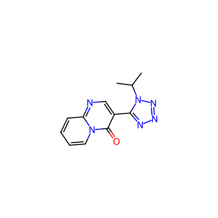 CC(C)n1nnnc1-c1cnc2ccccn2c1=O